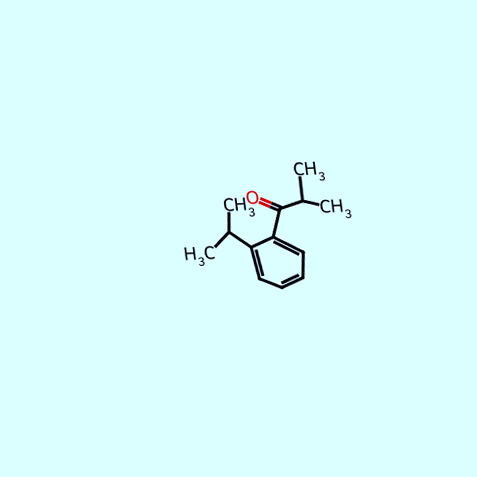 CC(C)C(=O)c1ccccc1C(C)C